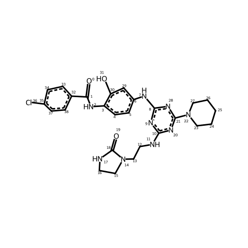 O=C(Nc1ccc(Nc2nc(NCCN3CCNC3=O)nc(N3CCCCC3)n2)cc1O)c1ccc(Cl)cc1